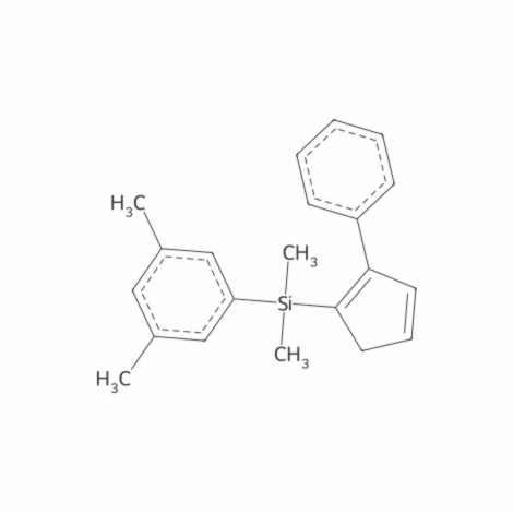 Cc1cc(C)cc([Si](C)(C)C2=C(c3ccccc3)C=CC2)c1